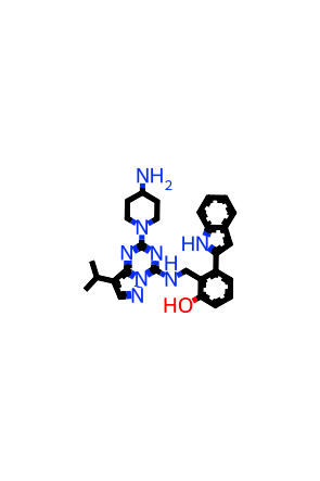 CC(C)c1cnn2c(NCc3c(O)cccc3-c3cc4ccccc4[nH]3)nc(N3CCC(N)CC3)nc12